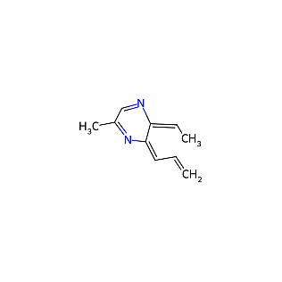 C=C/C=c1/nc(C)cn/c1=C/C